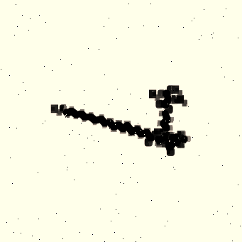 CCCCCCCCCCCCCCCCCCCC(=O)OCC1(NCCCCOC(=O)[C@@H](N)C(C)C)N=C2N=CN=C2C(=O)N1